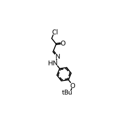 CC(C)(C)Oc1ccc(NN=CC(=O)CCl)cc1